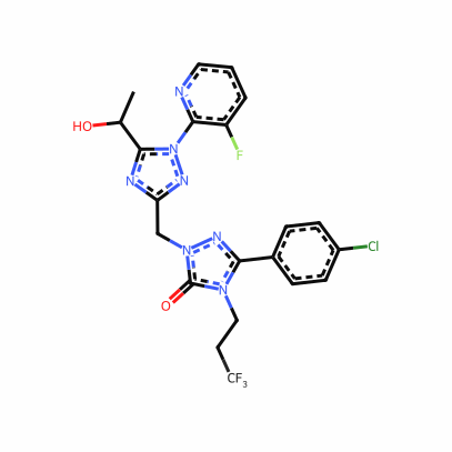 CC(O)c1nc(Cn2nc(-c3ccc(Cl)cc3)n(CCC(F)(F)F)c2=O)nn1-c1ncccc1F